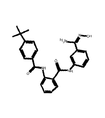 CC(C)(C)c1ccc(C(=O)Nc2ccccc2C(=O)Nc2cccc(/C(N)=N\O)c2)cc1